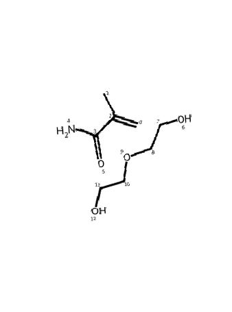 C=C(C)C(N)=O.OCCOCCO